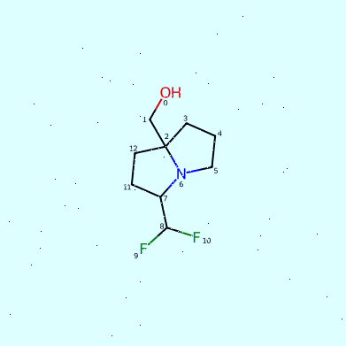 OCC12CCCN1C(C(F)F)CC2